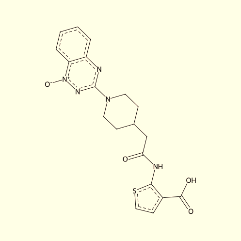 O=C(CC1CCN(c2nc3ccccc3[n+]([O-])n2)CC1)Nc1sccc1C(=O)O